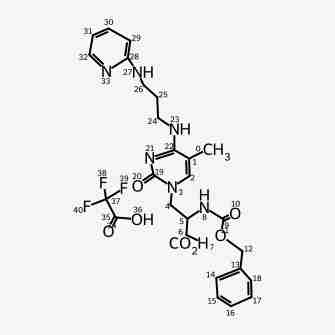 Cc1cn(CC(CC(=O)O)NC(=O)OCc2ccccc2)c(=O)nc1NCCCNc1ccccn1.O=C(O)C(F)(F)F